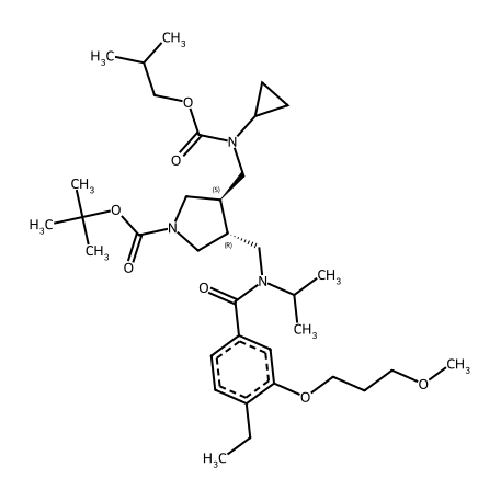 CCc1ccc(C(=O)N(C[C@@H]2CN(C(=O)OC(C)(C)C)C[C@H]2CN(C(=O)OCC(C)C)C2CC2)C(C)C)cc1OCCCOC